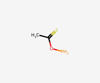 CC(=S)OP